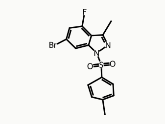 Cc1ccc(S(=O)(=O)n2nc(C)c3c(F)cc(Br)cc32)cc1